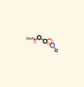 CNC(=O)c1cccc(-c2ccc3c(c2)CCOC2(CCN(C4CCC4)CC2)O3)c1